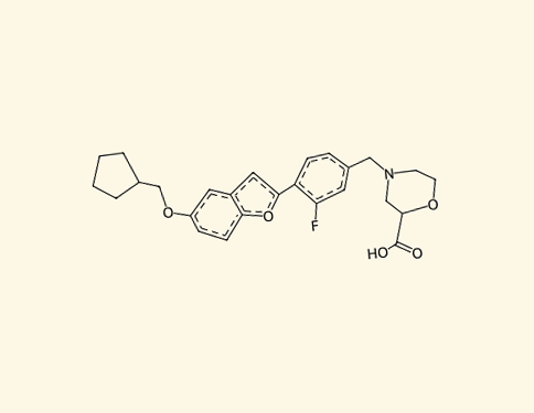 O=C(O)C1CN(Cc2ccc(-c3cc4cc(OCC5CCCC5)ccc4o3)c(F)c2)CCO1